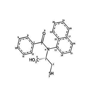 O=C(O)[C@@H](CS)N(C(=O)c1ccccc1)c1cccc2ccccc12